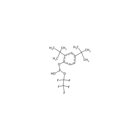 CC(C)(C)c1ccc(OP(O)OC(F)(F)C(F)(F)F)c(C(C)(C)C)c1